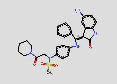 CS(=O)(=O)N(CC(=O)N1CCCCC1)c1ccc(N/C(=C2\C(=O)Nc3ccc(N)cc32)c2ccccc2)cc1